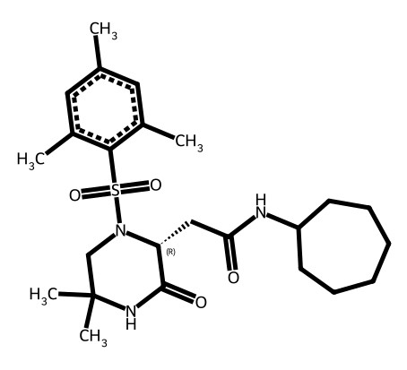 Cc1cc(C)c(S(=O)(=O)N2CC(C)(C)NC(=O)[C@H]2CC(=O)NC2CCCCCC2)c(C)c1